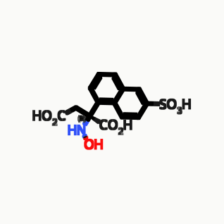 O=C(O)C[C@](NO)(C(=O)O)c1cccc2cc(S(=O)(=O)O)ccc12